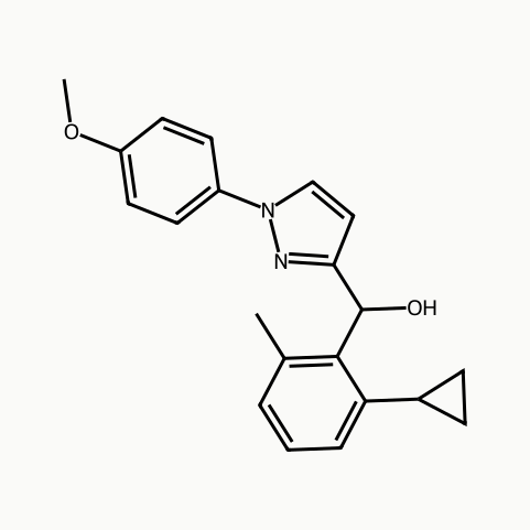 COc1ccc(-n2ccc(C(O)c3c(C)cccc3C3CC3)n2)cc1